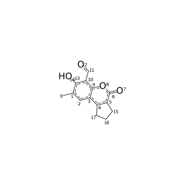 Cc1cc2c3c(c(=O)oc2c(C=O)c1O)CCC3